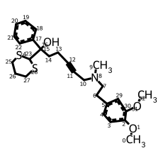 COc1ccc(CCN(C)CC#CCCC(O)(c2ccccc2)C2SCCCS2)cc1OC